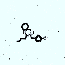 CCCCC1=NC2(CCCCC2)CON1Cc1ccc(Br)cc1